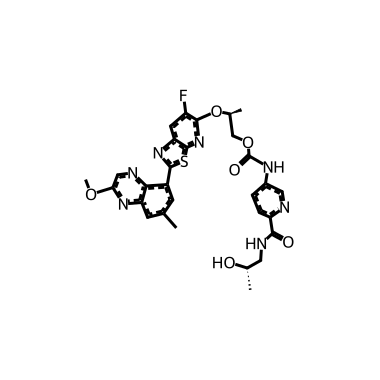 COc1cnc2c(-c3nc4cc(F)c(O[C@@H](C)COC(=O)Nc5ccc(C(=O)NC[C@H](C)O)nc5)nc4s3)cc(C)cc2n1